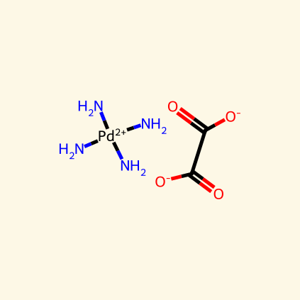 O=C([O-])C(=O)[O-].[NH2][Pd+2]([NH2])([NH2])[NH2]